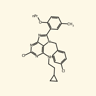 CCCOc1ccc(C)cc1-c1nc2nc(Cl)nc(NCCC3CC3)c2n1Cc1ccc(Cl)cc1